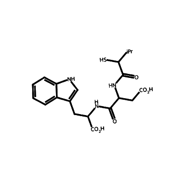 CC(C)C(S)C(=O)NC(CC(=O)O)C(=O)NC(Cc1c[nH]c2ccccc12)C(=O)O